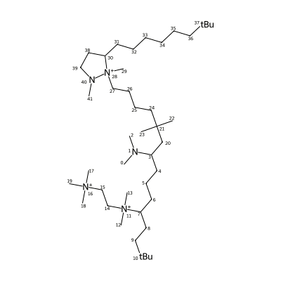 CN(C)C(CCCC(CCC(C)(C)C)[N+](C)(C)CC[N+](C)(C)C)CC(C)(C)CCCC[N+]1(C)C(CCCCCCC(C)(C)C)CCN1C